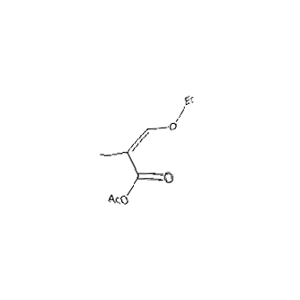 CCOC=C(C)C(=O)OC(C)=O